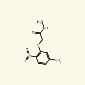 Cc1ccc([SH](=O)=O)c(OCC(=O)NN)c1